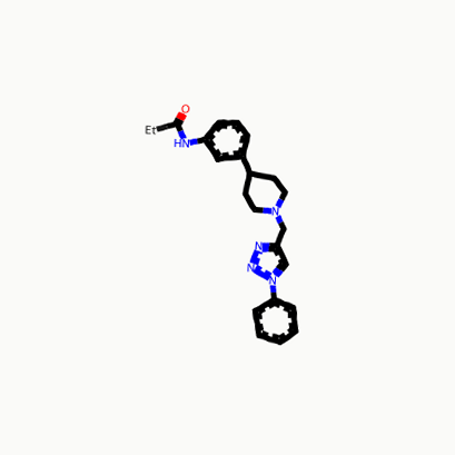 CCC(=O)Nc1cccc(C2CCN(Cc3cn(-c4ccccc4)nn3)CC2)c1